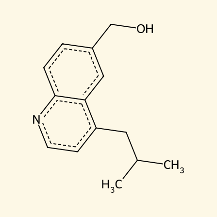 CC(C)Cc1ccnc2ccc(CO)cc12